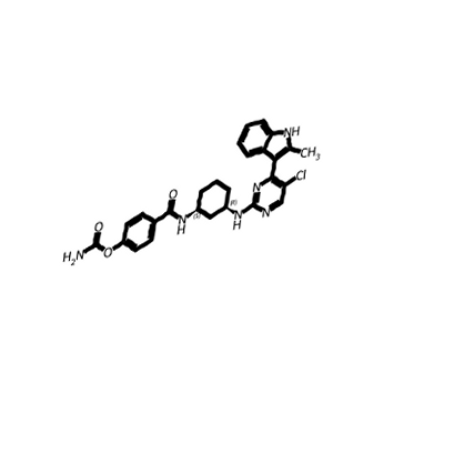 Cc1[nH]c2ccccc2c1-c1nc(N[C@@H]2CCC[C@H](NC(=O)c3ccc(OC(N)=O)cc3)C2)ncc1Cl